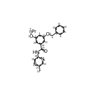 CCCOc1cc(OCc2ccccc2)cc(C(=O)Nc2cnc(C)cn2)c1